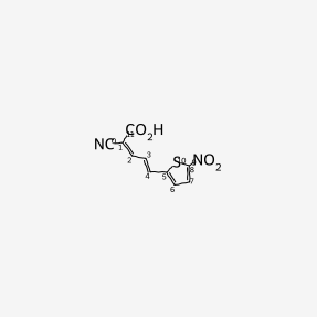 N#CC(=CC=Cc1ccc([N+](=O)[O-])s1)C(=O)O